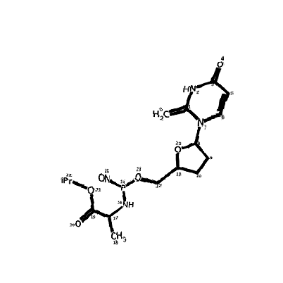 C=C1NC(=O)C=CN1C1CCC(COP(N=O)NC(C)C(=O)OC(C)C)O1